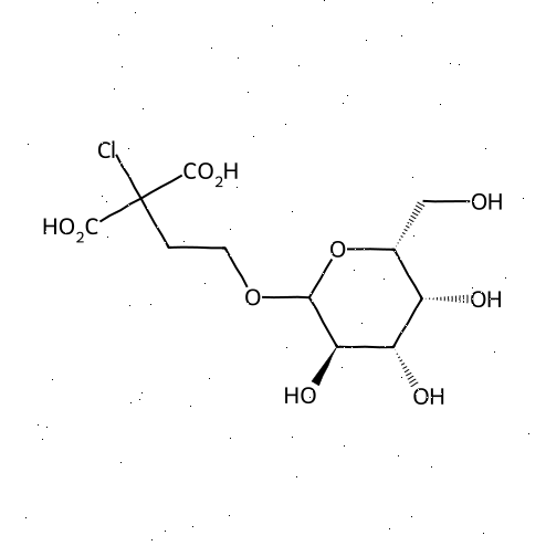 O=C(O)C(Cl)(CCOC1O[C@H](CO)[C@H](O)[C@H](O)[C@H]1O)C(=O)O